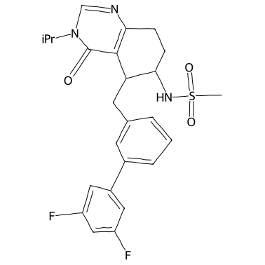 CC(C)n1cnc2c(c1=O)C(Cc1cccc(-c3cc(F)cc(F)c3)c1)C(NS(C)(=O)=O)CC2